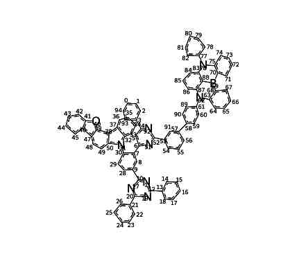 c1ccc(-c2cc(-c3cc(-c4nc(-c5ccccc5)nc(-c5ccccc5)n4)ccc3-n3c4ccccc4c4c5oc6ccccc6c5ccc43)nc(-c3cccc(-c4ccc(N5c6ccccc6B6c7ccccc7N(c7ccccc7)c7cccc5c76)cc4)c3)n2)cc1